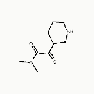 CN(C)C(=O)C(=O)C1CCCNC1